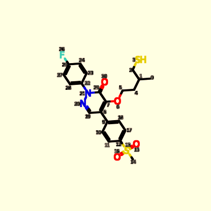 CC(CS)CCOc1c(-c2ccc(S(C)(=O)=O)cc2)cnn(-c2ccc(F)cc2)c1=O